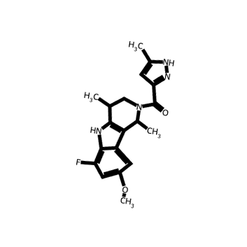 COc1cc(F)c2[nH]c3c(c2c1)C(C)N(C(=O)c1cc(C)[nH]n1)CC3C